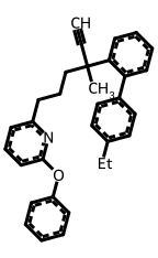 C#CC(C)(CCCc1cccc(Oc2ccccc2)n1)c1ccccc1-c1ccc(CC)cc1